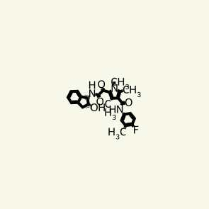 Cc1cc(NC(=O)c2c(C)c(C(=O)C(=O)N[C@H]3c4ccccc4C[C@@H]3O)n(C)c2C)ccc1F